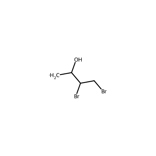 [CH2]C(O)C(Br)CBr